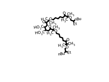 CCCCC(CC)COC(C)(C)C(=O)CCCCCOC(C)(C)C(=O)CC(C(=O)O)C(CC(=O)C(C)(C)OCCCCCC(=O)C(C)(C)OCC(CC)CCCC)C(=O)O